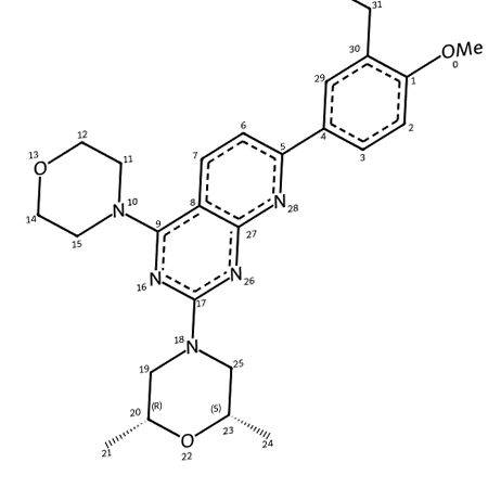 COc1ccc(-c2ccc3c(N4CCOCC4)nc(N4C[C@@H](C)O[C@@H](C)C4)nc3n2)cc1CCl